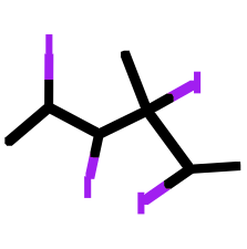 CC(I)C(I)C(C)(I)C(C)I